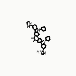 CC1c2cc3c4c(n(-c5ccccc5)c3cc2-c2cc3c(cc2C1C)c1cc(-c2ncc[nH]2)ccc1n3-c1ccccc1)CCC(c1ncccn1)=C4